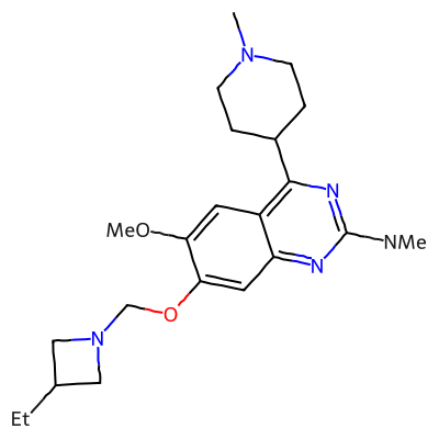 CCC1CN(COc2cc3nc(NC)nc(C4CCN(C)CC4)c3cc2OC)C1